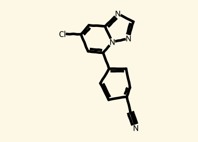 N#Cc1ccc(-c2cc(Cl)cc3ncnn23)cc1